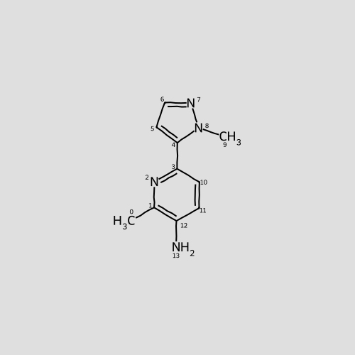 Cc1nc(-c2ccnn2C)ccc1N